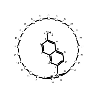 Nc1ccc2nc(N3CC4CCCCCCCCCCCCCCCCCCCCCC3CC4)ccc2c1